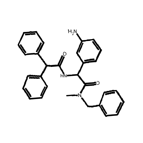 CN(Cc1ccccc1)C(=O)C(NC(=O)C(c1ccccc1)c1ccccc1)c1cccc(N)c1